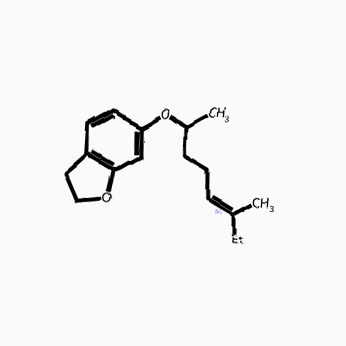 CC/C(C)=C/CCC(C)Oc1ccc2c(c1)OCC2